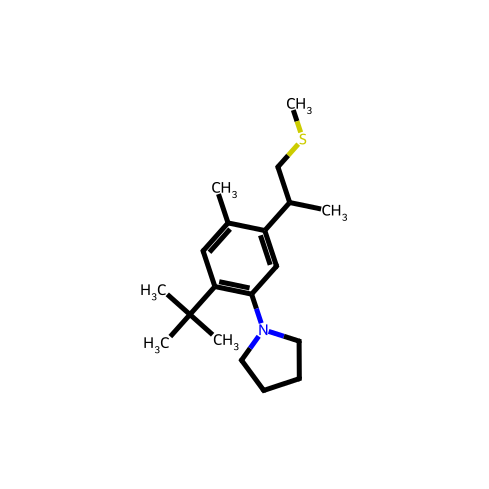 CSCC(C)c1cc(N2CCCC2)c(C(C)(C)C)cc1C